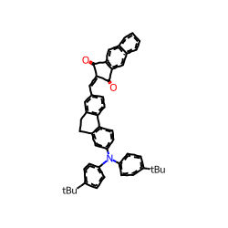 CC(C)(C)c1ccc(N(c2ccc(C(C)(C)C)cc2)c2ccc3c(c2)CCc2cc(C=C4C(=O)c5cc6ccccc6cc5C4=O)ccc2-3)cc1